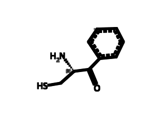 N[C@@H](CS)C(=O)c1c[c]ccc1